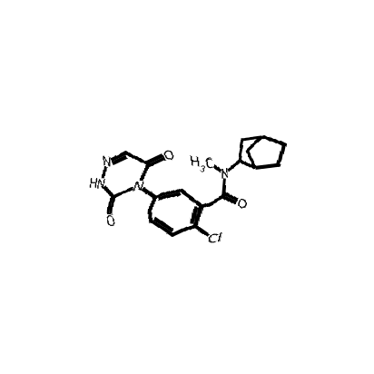 CN(C(=O)c1cc(-n2c(=O)cn[nH]c2=O)ccc1Cl)C1CC2CCC1C2